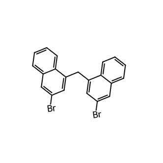 Brc1cc(Cc2cc(Br)cc3ccccc23)c2ccccc2c1